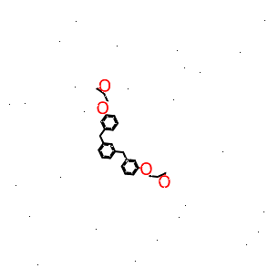 c1cc(Cc2cccc(OCC3CO3)c2)cc(Cc2cccc(OCC3CO3)c2)c1